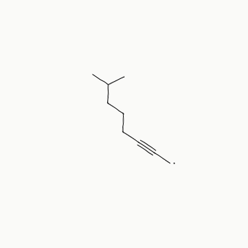 [CH2]C#CCCCC(C)C